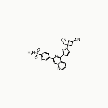 N#CC[C@]1(n2ccc(-c3nc(-c4ccc(S(N)(=O)=O)nc4)cc4ncccc34)n2)C[C@H](C#N)C1